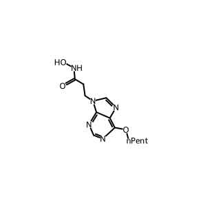 CCCCCOc1ncnc2c1ncn2CCC(=O)NO